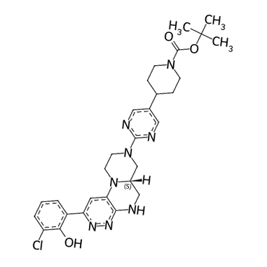 CC(C)(C)OC(=O)N1CCC(c2cnc(N3CCN4c5cc(-c6cccc(Cl)c6O)nnc5NC[C@H]4C3)nc2)CC1